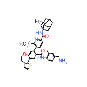 CCC12CC3CC(C1)CC(NC(=O)c1ccc(-c4cc5c(cc4C(=O)Nc4ccc(CN)cc4C)-c4sccc4CCO5)c(C(=O)O)n1)(C3)C2